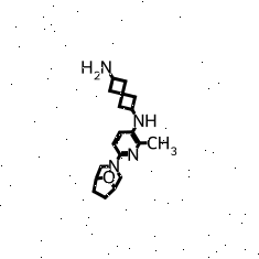 Cc1nc(N2CC3CCC(C2)O3)ccc1NC1CC2(CC(N)C2)C1